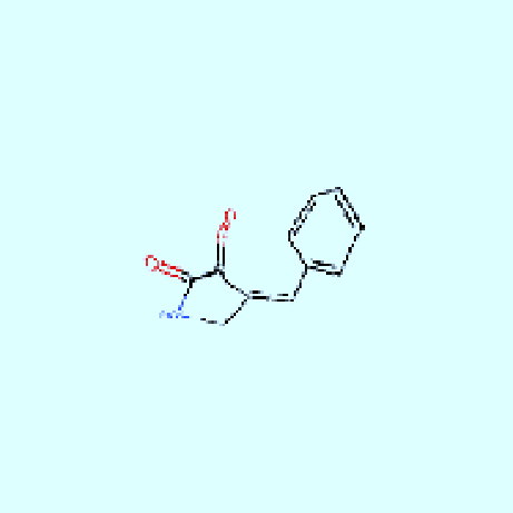 O=C1NCC(=Cc2ccccc2)C1=O